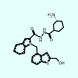 N[C@@H]1CCCC(C(=O)NNC(=O)c2cc3ccccc3n2Cc2cccc3sc(CO)cc23)C1